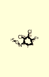 Fc1ccc(N=C=S)c(Cl)c1Cl